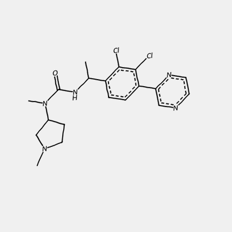 CC(NC(=O)N(C)C1CCN(C)C1)c1ccc(-c2cnccn2)c(Cl)c1Cl